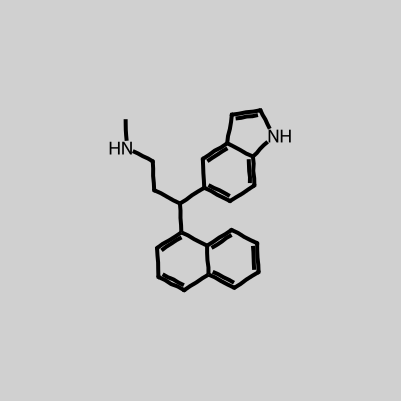 CNCCC(c1ccc2[nH]ccc2c1)c1cccc2ccccc12